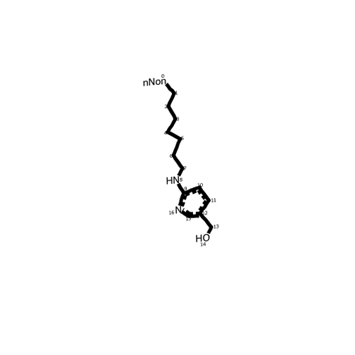 CCCCCCCCCCCCCCCCNc1ccc(CO)cn1